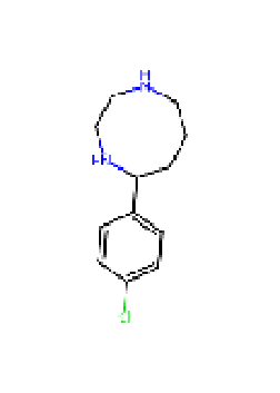 Clc1ccc(C2CCCNCCN2)cc1